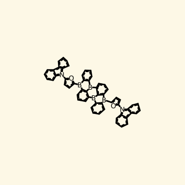 c1ccc2c(c1)B(c1ccc(-n3c4ccccc4c4ccccc43)o1)c1cccc3c1B2c1cccc2c1B3c1ccccc1B2c1ccc(-n2c3ccccc3c3ccccc32)o1